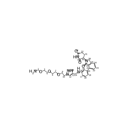 NCOCCOCCOCCn1cc(CNc2cccc(-c3cccc4c3C(=O)N(C3CCC(=O)NC3=O)C4)c2)nn1